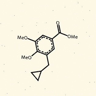 COC(=O)c1cc(CC2CC2)c(OC)c(OC)c1